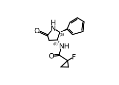 O=C1C[C@@H](NC(=O)C2(F)CC2)[C@H](c2ccccc2)N1